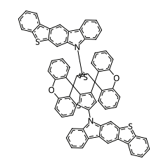 c1ccc2c(c1)Oc1ccccc1C21c2cc(-n3c4ccccc4c4cc5c(cc43)sc3ccccc35)sc2C2(c3ccccc3Oc3ccccc32)c2cc(-n3c4ccccc4c4cc5c(cc43)sc3ccccc35)sc21